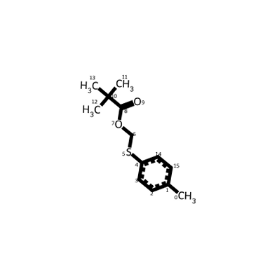 Cc1ccc(SCOC(=O)C(C)(C)C)cc1